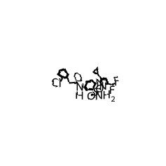 NS(=O)(=O)c1cc(NC(=O)Cc2ccccc2Cl)ccc1-n1nc(C(F)F)cc1C1CC1